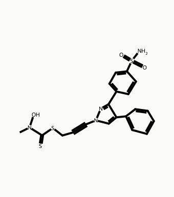 CN(O)C(=S)SCC#Cn1cc(-c2ccccc2)c(-c2ccc(S(N)(=O)=O)cc2)n1